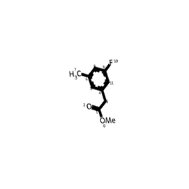 COC(=O)Cc1cc(C)cc(F)c1